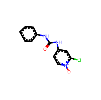 O=C(Nc1ccccc1)Nc1cc[n+]([O-])c(Cl)c1